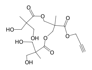 C#CCOC(=O)C(C)(COC(=O)C(C)(CO)CO)COC(=O)C(C)(CO)CO